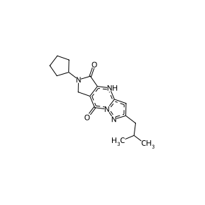 CC(C)Cc1cc2[nH]c3c(c(=O)n2n1)CN(C1CCCC1)C3=O